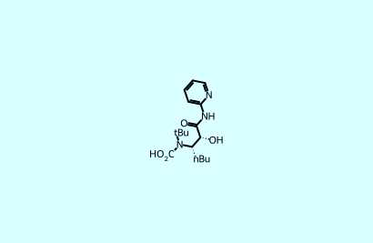 CCCC[C@@H]([C@@H](O)C(=O)Nc1ccccn1)N(C(=O)O)C(C)(C)C